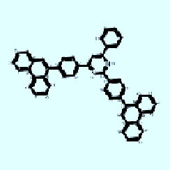 c1ccc(-c2cc(-c3ccc(-c4cc5ccccc5c5ccccc45)cc3)nc(-c3ccc(-c4cc5ccccc5c5ccccc45)cc3)n2)cc1